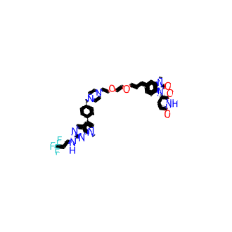 Cn1cc([C@H]2CC[C@@H](CN3CCN(CCOCCOCCCc4ccc5c(c4)n(C)c(=O)n5[C@H]4CCC(=O)NC4=O)CC3)CC2)c2cnc(NCCC(F)(F)F)nc21